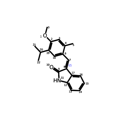 COc1cc(C)c(/C=C2\C(=O)Nc3ccccc32)cc1C(C)C